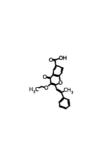 CCOc1c(/C=C(\C)c2ccccc2)oc2ccc(C(=O)O)cc2c1=O